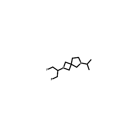 CC(C)N1CCC2(C1)CN(C(CF)CF)C2